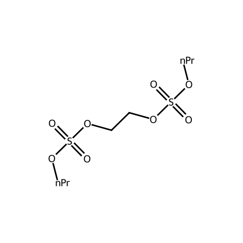 CCCOS(=O)(=O)OCCOS(=O)(=O)OCCC